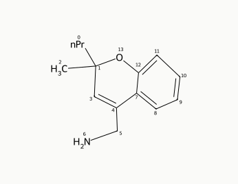 CCCC1(C)C=C(CN)c2ccccc2O1